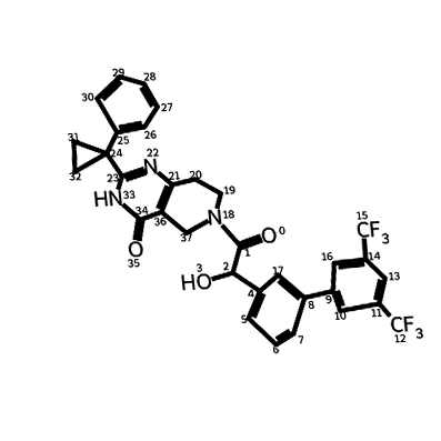 O=C(C(O)c1cccc(-c2cc(C(F)(F)F)cc(C(F)(F)F)c2)c1)N1CCc2nc(C3(c4ccccc4)CC3)[nH]c(=O)c2C1